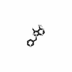 Nc1ncnc2c1c(I)nn2Cc1cccnc1